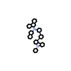 c1ccc(-n2c3ccccc3c3c(-c4cccc(-c5cccc(N(c6ccc7ccccc7c6)c6cc7ccccc7c7ccccc67)c5)c4)cccc32)cc1